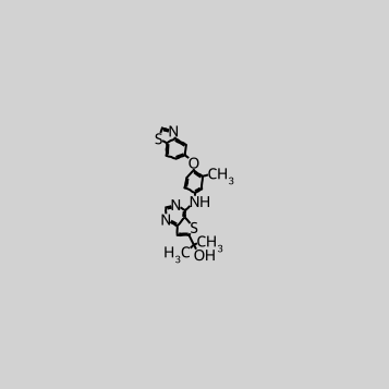 Cc1cc(Nc2ncnc3cc(C(C)(C)O)sc23)ccc1Oc1ccc2scnc2c1